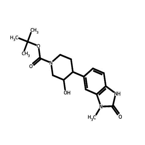 Cn1c(=O)[nH]c2ccc(C3CCN(C(=O)OC(C)(C)C)CC3O)cc21